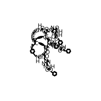 CC1Cc2ccc(cc2)CNCCN(C(=O)Cn2cnc3c(NC(=O)OCc4ccccc4)ncnc32)CC(=O)N2CCN(C(=O)Cn3ccc(NC(=O)OCc4ccccc4)nc3=O)CC(=O)N3CCN(C(=O)Cn4cnc5c(=O)[nH]c(NC(=O)OCc6ccccc6)nc54)CC(=O)NCCCCCCCC(Cc4ccc(cc4)C3)C1Cc1ccc(cc1)C2